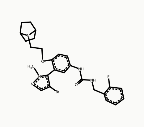 Cn1ncc(Br)c1-c1cc(NC(=O)NCc2ccccc2F)ccc1OCCN1C2CCC1CC2